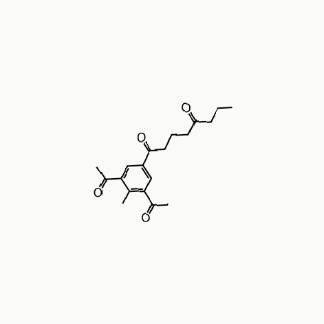 CCCC(=O)CCCC(=O)c1cc(C(C)=O)c(C)c(C(C)=O)c1